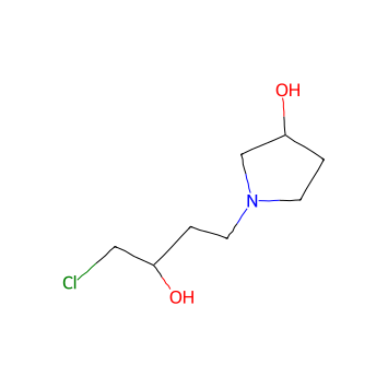 OC(CCl)CCN1CCC(O)C1